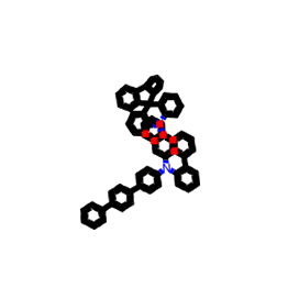 c1ccc(-c2ccc(-c3ccc(N(c4ccc5c(c4)c4cccc6c4n5-c4ccccc4C64c5ccccc5-c5ccccc54)c4ccccc4-c4cccc(-c5ccccc5)c4)cc3)cc2)cc1